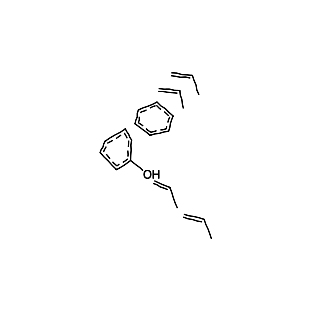 C=CC.C=CC.C=CC.C=CC.Oc1ccccc1.c1ccccc1